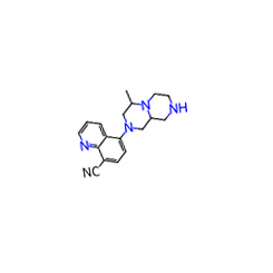 CC1CN(c2ccc(C#N)c3ncccc23)CC2CNCCN12